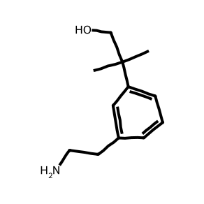 CC(C)(CO)c1cccc(CCN)c1